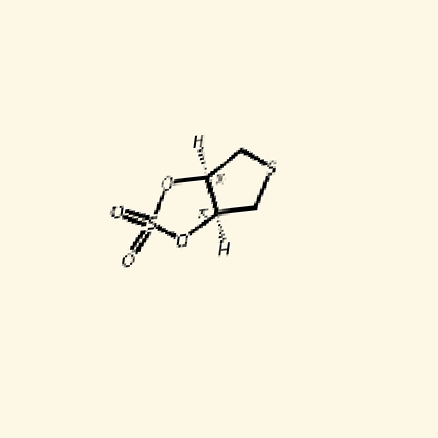 O=S1(=O)O[C@H]2CSC[C@H]2O1